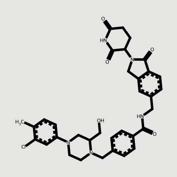 Cc1ccc(N2CCN(Cc3ccc(C(=O)NCc4ccc5c(c4)CN(C4CCC(=O)NC4=O)C5=O)cc3)C(CO)C2)cc1Cl